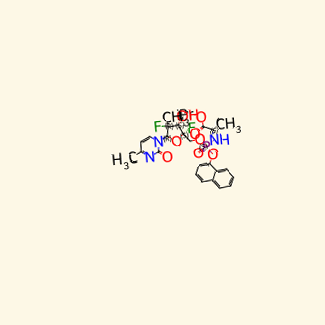 Cc1ccn([C@@H]2O[C@](F)(CO[P@@](=O)(N[C@@H](C)C(=O)OC(C)C)Oc3cccc4ccccc34)[C@@H](O)[C@@]2(C)F)c(=O)n1